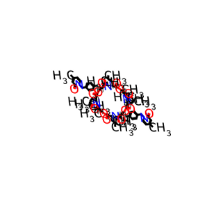 Cc1ccn(Cc2ccc(C[C@H]3OC(=O)[C@H](CC(C)C)N(C)C(=O)[C@@H](C)OC(=O)[C@H](CC(C)C)N(C)C(=O)[C@@H](Cc4ccc(Cn5ccc(C)cc5=O)cc4)OC(=O)[C@H](CC(C)C)N(C)C(=O)[C@@H](C)OC(=O)[C@H](CC(C)C)N(C)C3=O)cc2)c(=O)c1